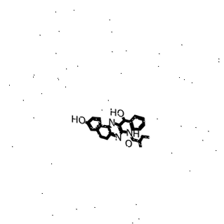 CCC(C)C(=O)Nc1nc2c(nc1C(O)c1ccccc1)-c1ccc(O)cc1CC2